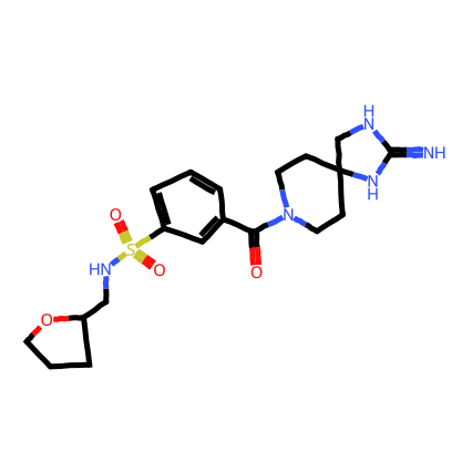 N=C1NCC2(CCN(C(=O)c3cccc(S(=O)(=O)NCC4CCCO4)c3)CC2)N1